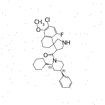 COc1c(Cl)cc(F)c2c1CCCC21CNCC1C(=O)N1CC[C@@H](c2ccccc2)C[C@H]1C1CCCCC1